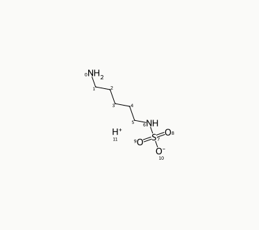 NCCCCCNS(=O)(=O)[O-].[H+]